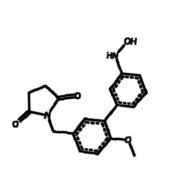 COc1ccc(CN2C(=O)CCC2=O)cc1-c1cccc(NO)c1